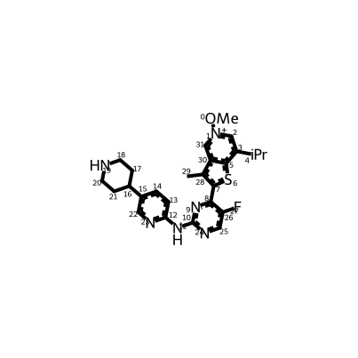 CO[n+]1cc(C(C)C)c2sc(-c3nc(Nc4ccc(C5CCNCC5)cn4)ncc3F)c(C)c2c1